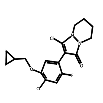 O=c1c(-c2cc(OCC3CC3)c(Cl)cc2F)c(Cl)n2n1CCCC2